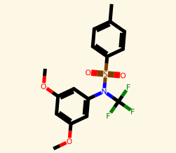 COc1cc(OC)cc(N(C(F)(F)F)S(=O)(=O)c2ccc(C)cc2)c1